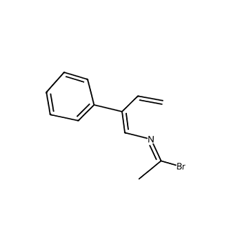 C=C/C(=C\N=C(/C)Br)c1ccccc1